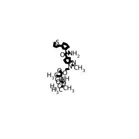 Cc1nc2cc(C(=O)N(N)c3cccc(-c4cccs4)c3)ccc2n1CCOC(=O)C(NC(=O)OC(C)(C)C)C(C)C